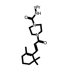 CCCNC(=O)N1CCN(C(=O)C=CC2=C(C)CCCC2(C)C)CC1